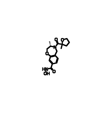 C[C@H]1COc2cc(C(=O)NO)ccc2CN1C(=O)C1(C)CCCO1